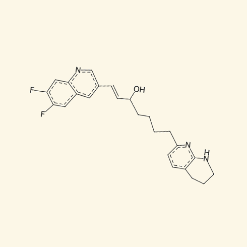 OC(C=Cc1cnc2cc(F)c(F)cc2c1)CCCCc1ccc2c(n1)NCCC2